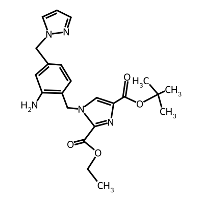 CCOC(=O)c1nc(C(=O)OC(C)(C)C)cn1Cc1ccc(Cn2cccn2)cc1N